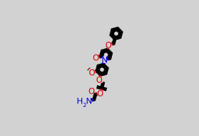 COc1cc(-n2ccc(OCc3ccccc3)cc2=O)ccc1OCC(C)(C)OC(=O)CN